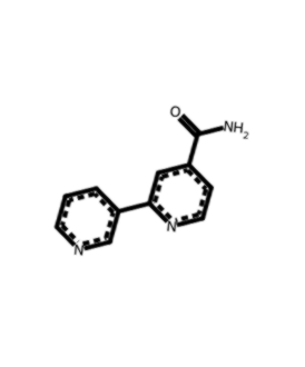 NC(=O)c1ccnc(-c2cccnc2)c1